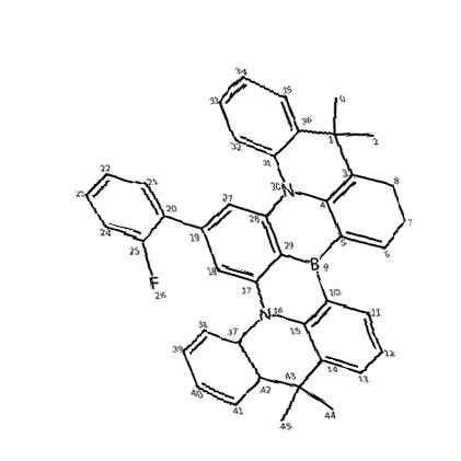 CC1(C)C2=C3C(=CCC2)B2c4cccc5c4N(c4cc(-c6ccccc6F)cc(c42)N3c2ccccc21)C1C=CC=CC1C5(C)C